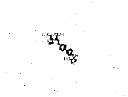 CC(O)c1nccn1C(/C=C/c1ccc(-c2ccc(NC3COCC3O)cc2)cc1)CO